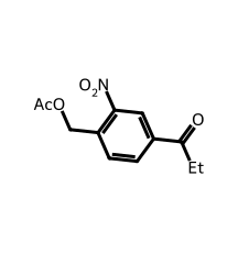 CCC(=O)c1ccc(COC(C)=O)c([N+](=O)[O-])c1